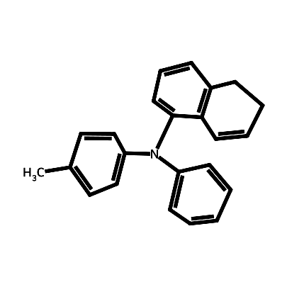 Cc1ccc(N(c2ccccc2)c2cccc3c2C=CCC3)cc1